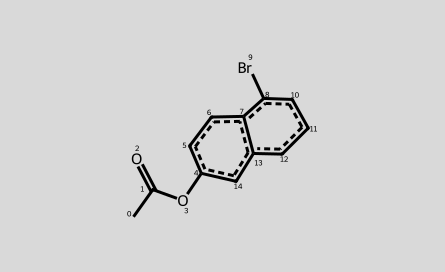 CC(=O)Oc1ccc2c(Br)cccc2c1